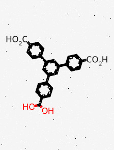 O=C(O)c1ccc(-c2cc(-c3ccc(C(=O)O)cc3)cc(-c3ccc(C(O)O)cc3)c2)cc1